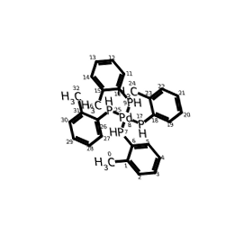 Cc1ccccc1[PH][Pd]([PH]c1ccccc1C)([PH]c1ccccc1C)[PH]c1ccccc1C